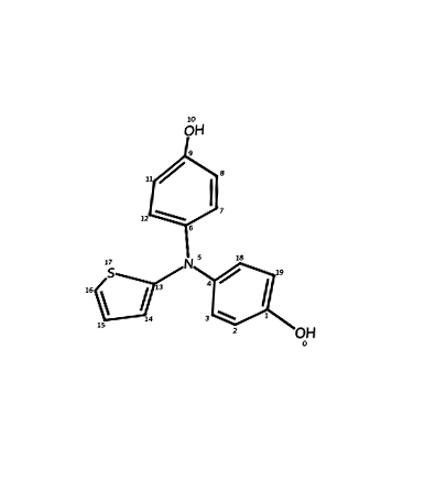 Oc1ccc(N(c2ccc(O)cc2)c2cccs2)cc1